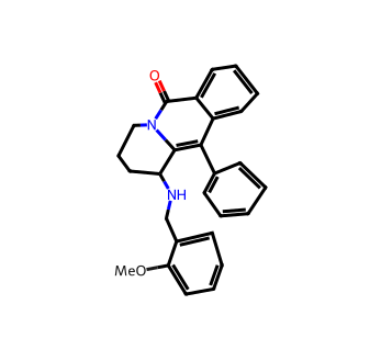 COc1ccccc1CNC1CCCn2c1c(-c1ccccc1)c1ccccc1c2=O